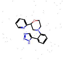 [c]1nn[nH]c1-c1ccccc1N1CCOC(c2ccccn2)C1